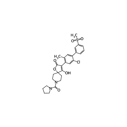 Cc1cc(-c2cccc(S(C)(=O)=O)c2)c(Cl)cc1C1=C(O)C2(CCN(C(=O)N3CCCC3)CC2)OC1=O